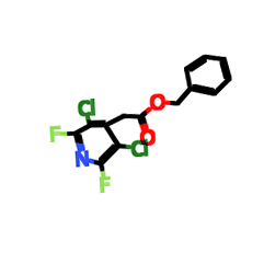 O=C(Cc1c(Cl)c(F)nc(F)c1Cl)OCc1ccccc1